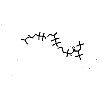 CC(C)OCCC(C)(C)C(C)(C)OCC(C)C(C)(C)C(C)(C)OCCC(C)(C)OC(=O)C(CC(C)(C)C)C(C)(C)C